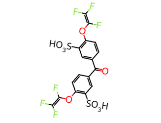 O=C(c1ccc(OC(F)=C(F)F)c(S(=O)(=O)O)c1)c1ccc(OC(F)=C(F)F)c(S(=O)(=O)O)c1